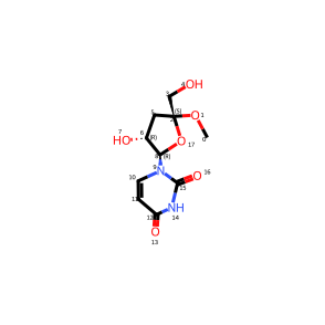 CO[C@@]1(CO)C[C@@H](O)[C@H](n2ccc(=O)[nH]c2=O)O1